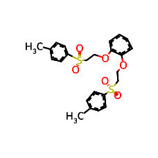 Cc1ccc(S(=O)(=O)CCOc2ccccc2OCCS(=O)(=O)c2ccc(C)cc2)cc1